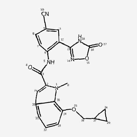 Cn1c(C(=O)Nc2ccc(C#N)cc2-c2noc(=O)[nH]2)cc2cccc(OCC3CC3)c21